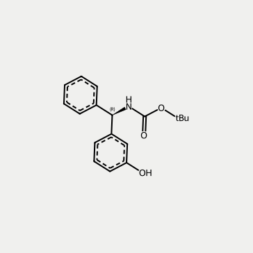 CC(C)(C)OC(=O)N[C@H](c1ccccc1)c1cccc(O)c1